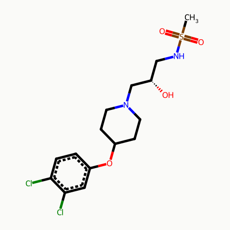 CS(=O)(=O)NC[C@H](O)CN1CCC(Oc2ccc(Cl)c(Cl)c2)CC1